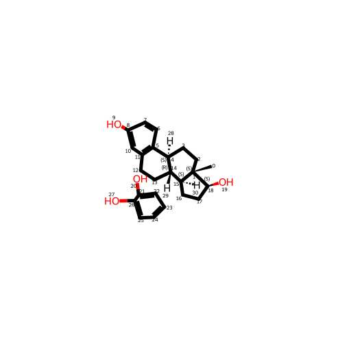 C[C@]12CC[C@@H]3c4ccc(O)cc4CC[C@H]3[C@@H]1CC[C@@H]2O.Oc1ccccc1O